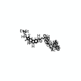 CCN(CC)CCNc1c(C)[nH]c(/C=C2\C(=O)Nc3ccc(NC(=O)CCC(=O)C(CC)(CC)O[C@H](C)C(=O)C(C)(CC)O[C@H](COc4nsnc4N4CCOCC4)CN(C(C)=O)C(C)(C)C)cc32)c1C